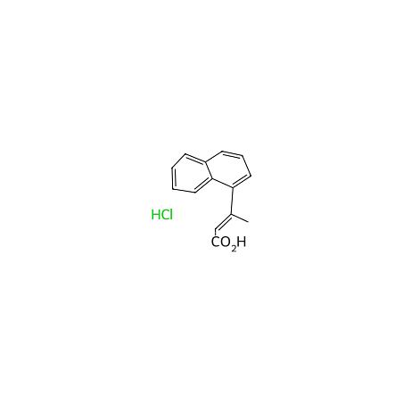 CC(=CC(=O)O)c1cccc2ccccc12.Cl